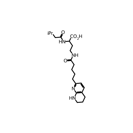 CC(C)CC(=O)NC(CCNC(=O)CCCCc1ccc2c(n1)NCCC2)C(=O)O